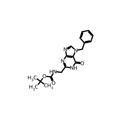 CC(C)(C)OC(=O)NCc1nc2ncn(Cc3ccccc3)c2c(=O)[nH]1